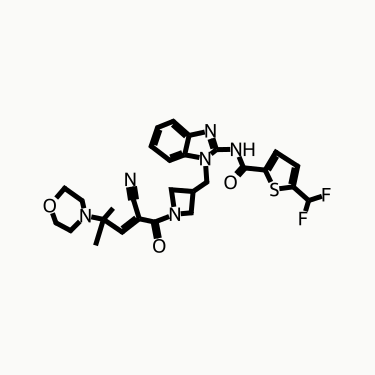 CC(C)(C=C(C#N)C(=O)N1CC(Cn2c(NC(=O)c3ccc(C(F)F)s3)nc3ccccc32)C1)N1CCOCC1